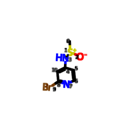 C[S+]([O-])Nc1ccnc(Br)c1